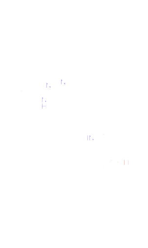 O=C(O)CCC(=O)NCc1cccc(-c2ccc3ncnc(Nc4ccccc4)c3c2)c1